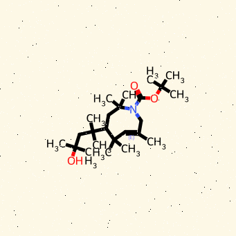 C/C1=C\C(C)(C)C(C(C)(C)CC(C)(C)O)CC(C)(C)N(C(=O)OC(C)(C)C)C1